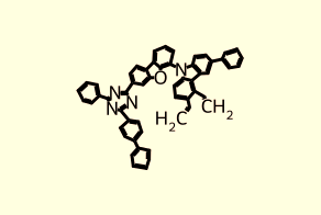 C=Cc1ccc2c(c1C=C)c1cc(-c3ccccc3)ccc1n2-c1cccc2c1oc1cc(-c3nc(-c4ccccc4)nc(-c4ccc(-c5ccccc5)cc4)n3)ccc12